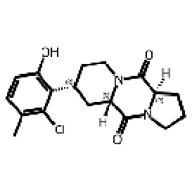 Cc1ccc(O)c([C@@H]2CCN3C(=O)[C@H]4CCCN4C(=O)[C@@H]3C2)c1Cl